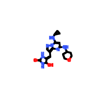 O=C1N/C(=C\c2cnn3c(NC4CC4)cc(NC4CCOCC4)nc23)C(O)N1